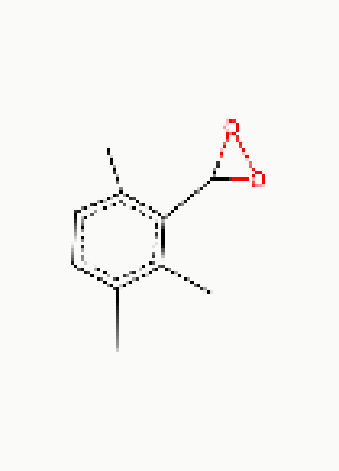 Cc1ccc(C)c(C2OO2)c1C